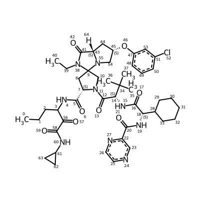 CCCC(NC(=O)[C@@H]1CC2(CN1C(=O)[C@@H](NC(=O)[C@@H](NC(=O)c1cnccn1)C1CCCCC1)C(C)(C)C)N(CC)C(=O)[C@@H]1C[C@H](Oc3cccc(Cl)c3)CN12)C(=O)C(=O)NC1CC1